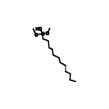 CCCCCCCCCCCC[Si](O)(OC)OC